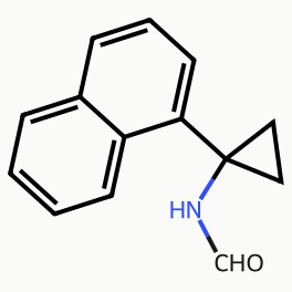 O=CNC1(c2cccc3ccccc23)CC1